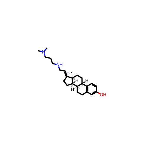 CN(C)CCCNC/C=C1\CC[C@H]2[C@@H]3CCc4cc(O)ccc4[C@H]3CC[C@]12C